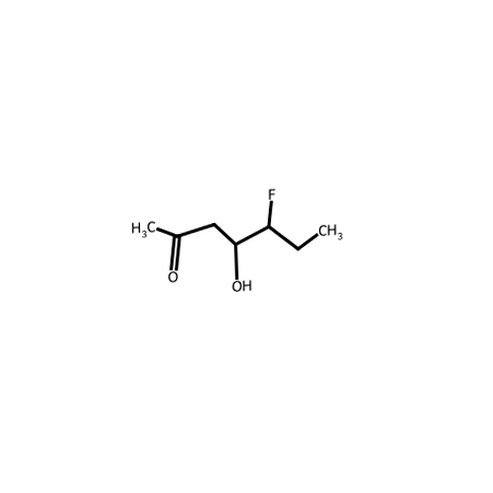 CCC(F)C(O)CC(C)=O